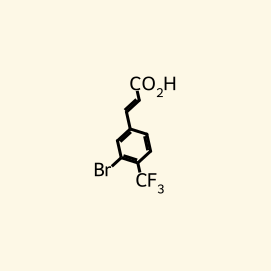 O=C(O)/C=C/c1ccc(C(F)(F)F)c(Br)c1